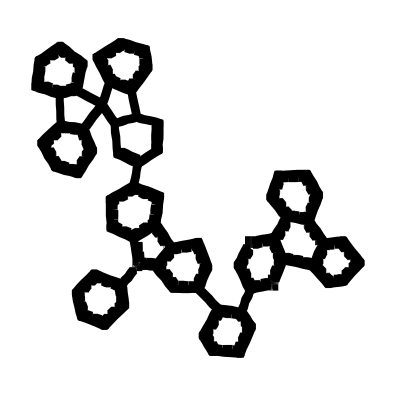 C1=CC2c3ccccc3C3(c4ccccc4-c4ccccc43)C2C=C1c1ccc2c(c1)c1ccc(-c3ccccc3-c3cnc4c5ccccc5c5ccccc5c4n3)cc1n2-c1ccccc1